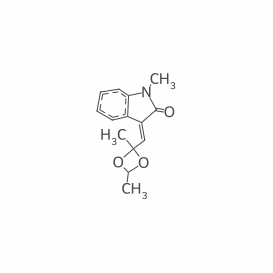 CC1OC(C)(/C=C2/C(=O)N(C)c3ccccc32)O1